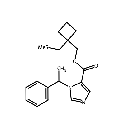 CSCC1(COC(=O)c2cncn2C(C)c2ccccc2)CCC1